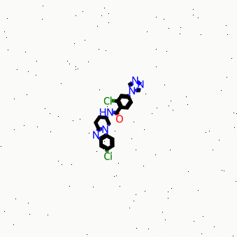 O=C(NC1CCc2nc3cc(Cl)ccc3n2C1)c1ccc(-n2cnnc2)cc1Cl